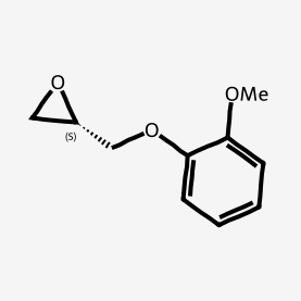 COc1ccccc1OC[C@@H]1CO1